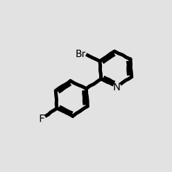 Fc1ccc(-c2ncccc2Br)cc1